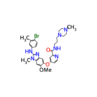 COc1cc2c(cc1Oc1ccnc(C(=O)NCCCN3CCN(C)CC3)c1)nc(Nc1ccc(Br)c(C)c1)n2C